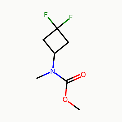 COC(=O)N(C)C1CC(F)(F)C1